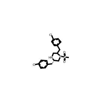 CS(=O)(=O)N1C[C@H](Cc2ccc(Cl)cc2)NCC1Cc1ccc(Cl)cc1